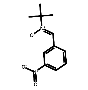 CC(C)(C)/[N+]([O-])=C/c1cccc([N+](=O)[O-])c1